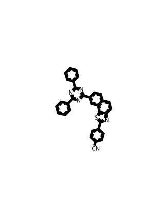 N#Cc1ccc(-c2nc3ccc4ccc(-c5nc(-c6ccccc6)nc(-c6ccccc6)n5)cc4c3s2)cc1